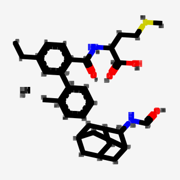 CCc1ccc(C(=O)NC(CCSC)C(=O)O)c(-c2ccccc2C)c1.O=CNC1C2CC3CC(C2)CC1C3.[LiH]